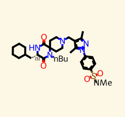 CCCCN1C(=O)[C@H](CC2CCCCC2)NC(=O)C12CCN(Cc1c(C)nn(-c3ccc(S(=O)(=O)NC)cc3)c1C)CC2